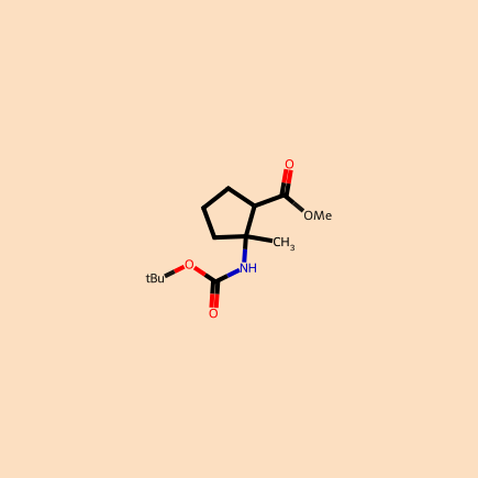 COC(=O)C1CCCC1(C)NC(=O)OC(C)(C)C